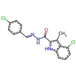 Cc1c(C(=O)NN=Cc2ccc(Cl)cc2)[nH]c2cccc(Cl)c12